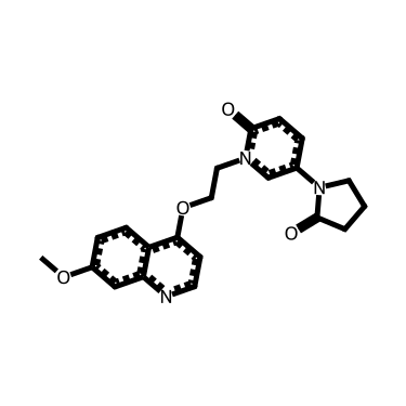 COc1ccc2c(OCCn3cc(N4CCCC4=O)ccc3=O)ccnc2c1